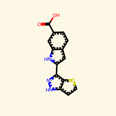 O=C(O)c1ccc2cc(-c3n[nH]c4ccsc34)[nH]c2c1